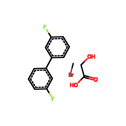 CBr.Fc1cccc(-c2cccc(F)c2)c1.O=C(O)CO